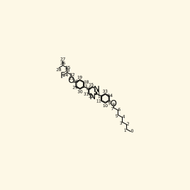 CCCCCCCCOc1ccc(-c2ncc(-c3ccc(OCC(F)CC(C)C)cc3)cn2)cc1